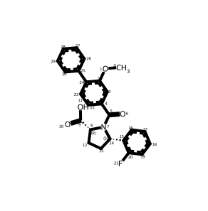 COc1cc(C(=O)N2[C@@H](C(=O)O)CC[C@H]2c2ccccc2F)ccc1-c1ccccc1